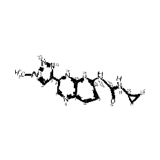 Cn1cc(-c2cnc3ccc(NC(=O)NC4CC4)nc3n2)nn1